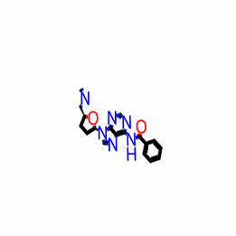 C=NC[C@@H]1CC[C@H](n2cnc3c(NC(=O)c4ccccc4)ncnc32)O1